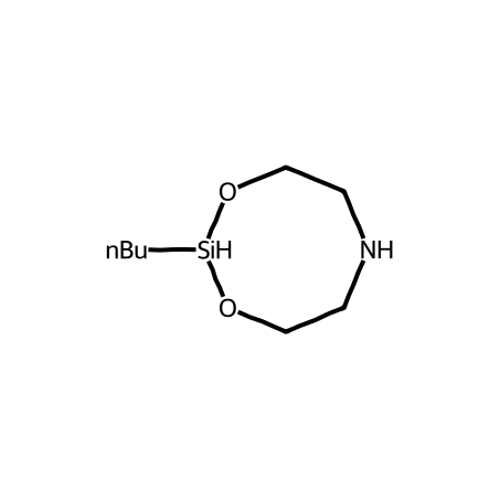 CCCC[SiH]1OCCNCCO1